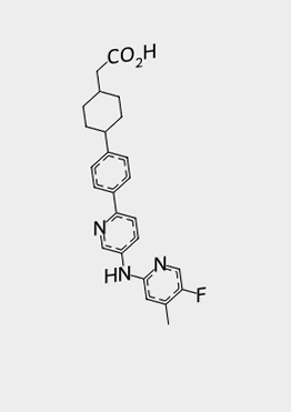 Cc1cc(Nc2ccc(-c3ccc(C4CCC(CC(=O)O)CC4)cc3)nc2)ncc1F